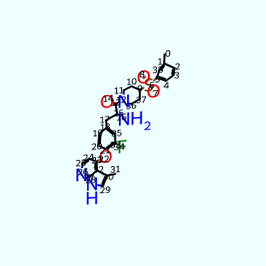 Cc1cccc(S(=O)(=O)C2CCN(C(=O)C(N)Cc3ccc(Oc4ccnc5[nH]cc(C)c45)c(F)c3)CC2)c1